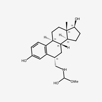 COC(O)NC[C@H]1C[C@@H]2[C@H](CC[C@]3(C)[C@@H](O)CC[C@@H]23)c2ccc(O)cc21